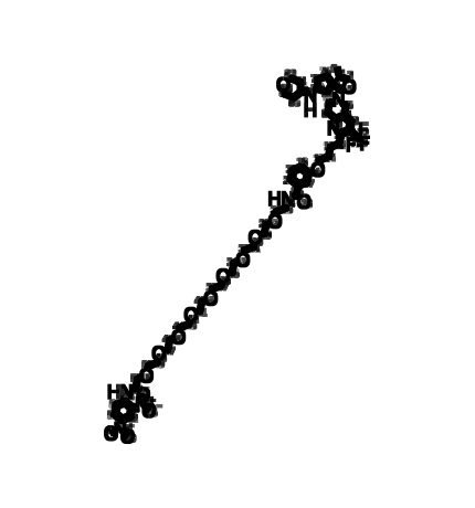 CC(C)[C@]1(C(=O)N2CCc3nc(CCCCOc4cccc(C(=O)NCCOCCOCCOCCOCCOCCOCCOCCOCCOCCNc5ccc([N+](=O)[O-])cc5[N+](=O)[O-])c4)c(C(F)(F)F)cc3C2)CC[C@@H](NC2CCOCC2)C1